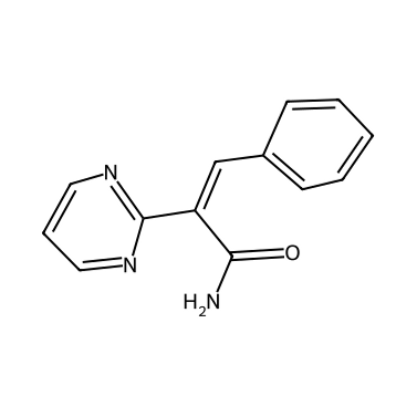 NC(=O)/C(=C\c1ccccc1)c1ncccn1